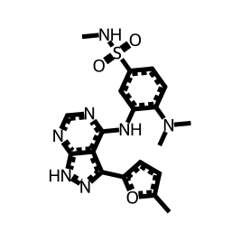 CNS(=O)(=O)c1ccc(N(C)C)c(Nc2ncnc3[nH]nc(-c4ccc(C)o4)c23)c1